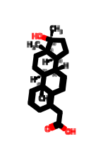 C[C@]12C=CCC(CC(=O)O)=C1C=C[C@@H]1[C@@H]2CC[C@@]2(C)[C@H]1CC[C@]2(C)O